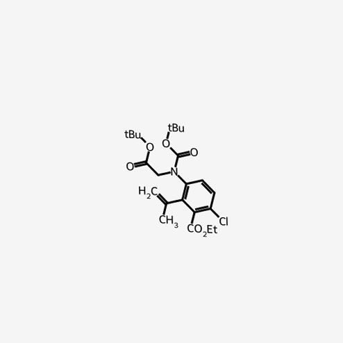 C=C(C)c1c(N(CC(=O)OC(C)(C)C)C(=O)OC(C)(C)C)ccc(Cl)c1C(=O)OCC